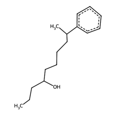 CCCC(O)CCCCC(C)c1ccccc1